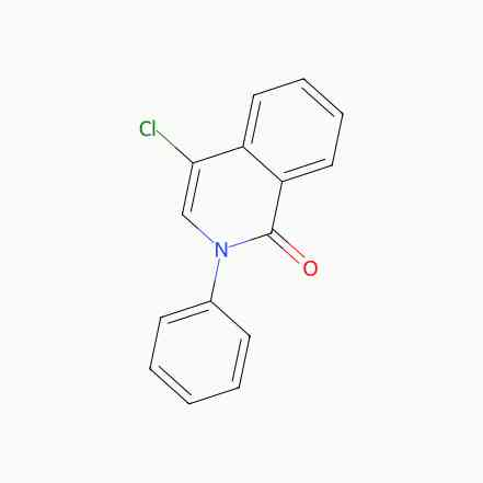 O=c1c2ccccc2c(Cl)cn1-c1ccccc1